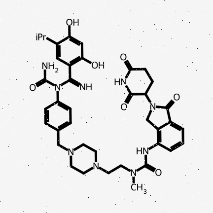 CC(C)c1cc(C(=N)N(C(N)=O)c2ccc(CN3CCN(CCN(C)C(=O)Nc4cccc5c4CN(C4CCC(=O)NC4=O)C5=O)CC3)cc2)c(O)cc1O